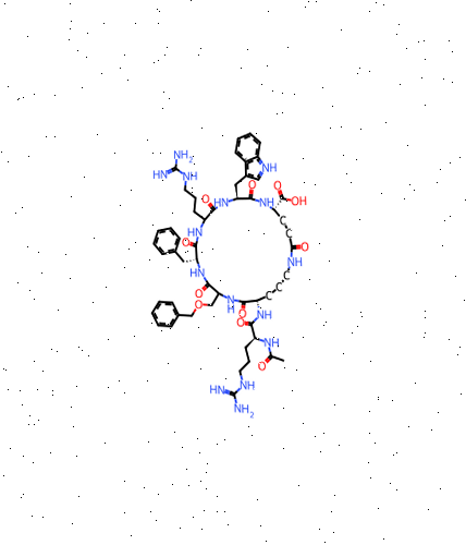 CC(=O)N[C@@H](CCCNC(=N)N)C(=O)N[C@H]1CCCNC(=O)CC[C@@H](C(=O)O)NC(=O)[C@H](Cc2c[nH]c3ccccc23)NC(=O)C(CCCNC(=N)N)NC(=O)[C@@H](Cc2ccccc2)NC(=O)C(COCc2ccccc2)NC1=O